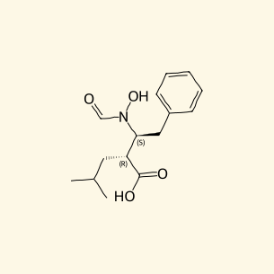 CC(C)C[C@@H](C(=O)O)[C@H](Cc1ccccc1)N(O)C=O